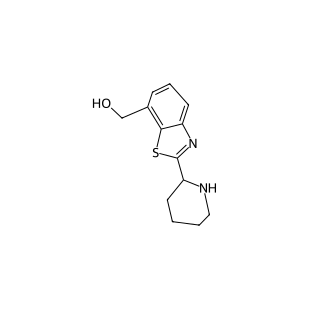 OCc1cccc2nc(C3CCCCN3)sc12